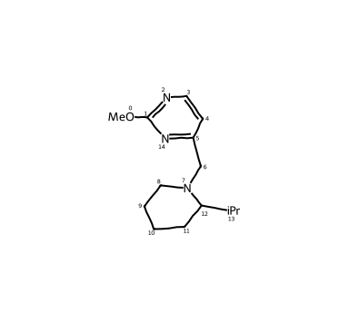 COc1nccc(CN2CCCCC2C(C)C)n1